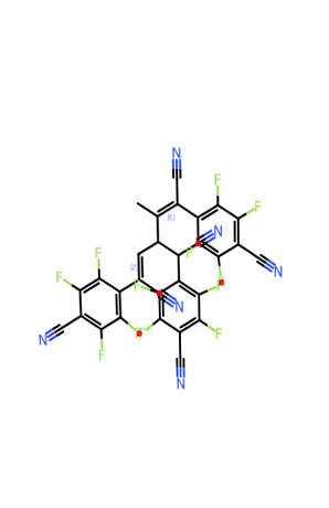 C/C(=C(\C#N)c1c(F)c(F)c(C#N)c(F)c1F)C(/C=C(\C#N)c1c(F)c(F)c(C#N)c(F)c1F)C(C#N)c1c(F)c(F)c(C#N)c(F)c1F